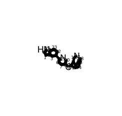 c1cc2cc(-c3ccc(OC4C5CC6CC4CN(C6)C5)cn3)ccc2[nH]1